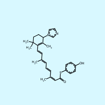 CC1=C(/C=C/C(C)=C/C=C/C(C)=C\C(=O)Sc2ccc(O)cc2)C(C)(C)CCC1n1ccnc1